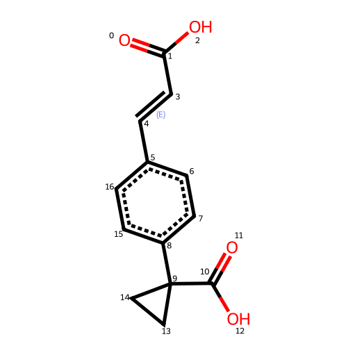 O=C(O)/C=C/c1ccc(C2(C(=O)O)CC2)cc1